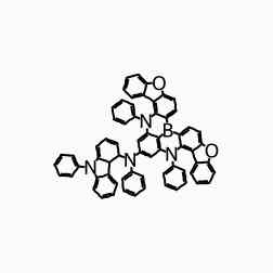 C1=CC(N(c2ccccc2)c2cc3c4c(c2)N(c2ccccc2)c2c(ccc5oc6ccccc6c25)B4c2ccc4oc5ccccc5c4c2N3c2ccccc2)C2C(=C1)N(c1ccccc1)c1ccccc12